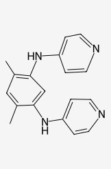 Cc1cc(C)c(Nc2ccncc2)cc1Nc1ccncc1